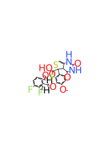 [2H]C([2H])(Oc1c(OC)ccc(C2(C(=O)O)SC=C3NC(=O)NC(=O)C32)c1F)c1c(OC)ccc(F)c1F